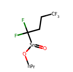 CCC[O][Sn](=[O])[C](F)(F)CCC(F)(F)F